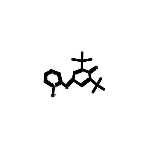 CC(C)(C)C1=CC(=Nc2cncc[n+]2[O-])C=C(C(C)(C)C)C1=O